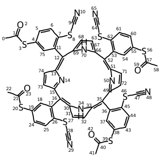 CC(=O)Sc1ccc(SC#N)c(-c2c3nc(c(-c4cc(SC(C)=O)ccc4SC#N)c4ccc([nH]4)c(-c4cc(SC(C)=O)ccc4SC#N)c4nc(c(-c5cc(SC(C)=O)ccc5SC#N)c5ccc2[nH]5)C=C4)C=C3)c1